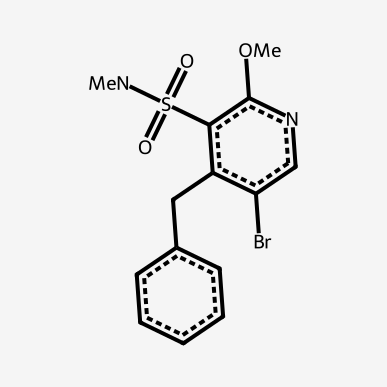 CNS(=O)(=O)c1c(OC)ncc(Br)c1Cc1ccccc1